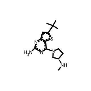 CN[C@@H]1CCN(c2nc(N)nc3cc(C(C)(C)C)sc23)C1